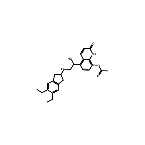 CCc1cc2c(cc1CC)CC(NCC(O)c1ccc(OC(C)=O)c3[nH]c(=O)ccc13)C2